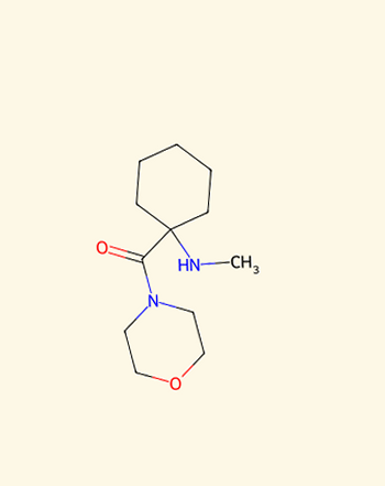 CNC1(C(=O)N2CCOCC2)CCCCC1